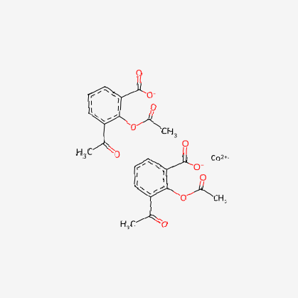 CC(=O)Oc1c(C(C)=O)cccc1C(=O)[O-].CC(=O)Oc1c(C(C)=O)cccc1C(=O)[O-].[Co+2]